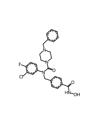 O=C(NO)c1ccc(CN(C(=O)N2CCN(Cc3ccccc3)CC2)c2ccc(F)c(Cl)c2)cc1